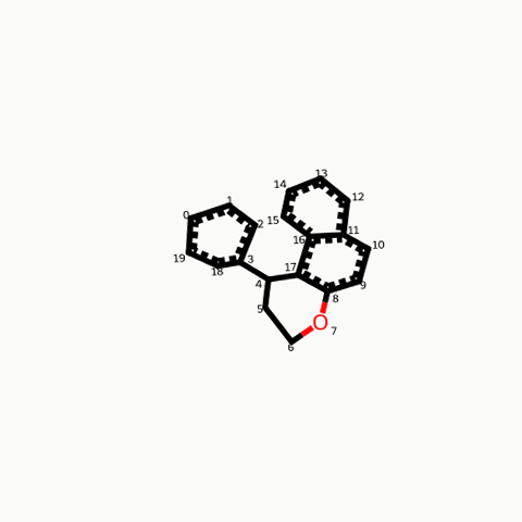 c1ccc(C2CCOc3ccc4ccccc4c32)cc1